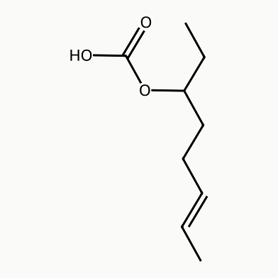 CC=CCCC(CC)OC(=O)O